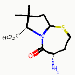 CC1(C)CC2SCC[C@H](N)C(=O)N2[C@@H]1C(=O)O